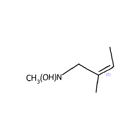 C/C=C(/C)CN(C)O